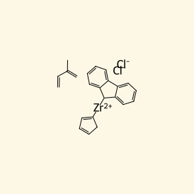 C1=CC[C]([Zr+2][CH]2c3ccccc3-c3ccccc32)=C1.C=CC(=C)C.[Cl-].[Cl-]